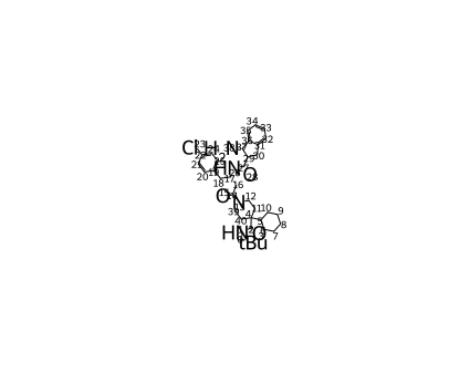 CC(C)(C)NC(=O)C1(C2CCCCC2)CCN(C(=O)C[C@H](Cc2ccc(Cl)cc2)NC(=O)C2Cc3ccccc3[C@H]2N)CC1